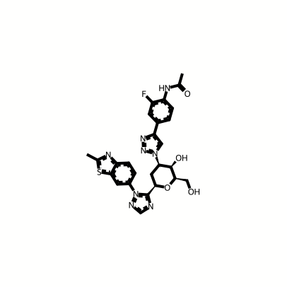 CC(=O)Nc1ccc(-c2cn([C@@H]3C[C@H](c4ncnn4-c4ccc5nc(C)sc5c4)O[C@H](CO)[C@@H]3O)nn2)cc1F